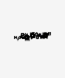 CN(C)Cc1ccc([C@H]2CC[C@@H](OC(=O)/C=C/c3ccc(Cl)cc3)CC2)cc1